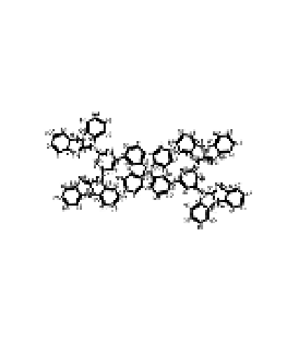 C1=CC2N=C3N(c4nc(-c5cccc([Si](c6ccccc6)(c6ccccc6)c6cccc(-c7cc(-n8c9ccccc9n9c%10ccccc%10nc89)nc(-n8c9ccccc9n9c%10ccccc%10nc89)n7)c6)c5)cc(-n5c6ccccc6n6c7ccccc7nc56)n4)c4ccccc4N3C2C=C1